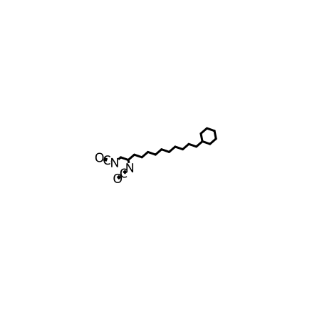 O=C=NCC(CCCCCCCCCCC1CCCCC1)N=C=O